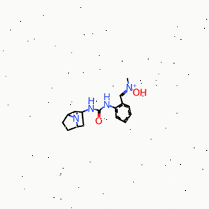 CN1C2CCC1CC(NC(=O)Nc1ccccc1C=[N+](C)O)C2